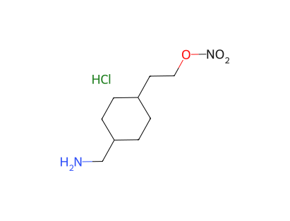 Cl.NCC1CCC(CCO[N+](=O)[O-])CC1